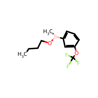 CCCCOB(C)c1cccc(OC(F)(F)F)c1